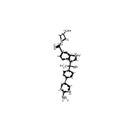 CC(C)C(C)(c1ccc(-c2cnc(N)nc2)cc1)c1c[nH]c2cc(C(=O)N3CC(O)C3)ccc12